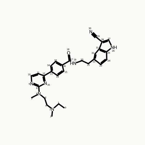 CCN(C)CCN(C)c1nccc(-c2ccc(C(=O)NCCc3ccc4[nH]cc(C#N)c4c3)cc2)n1